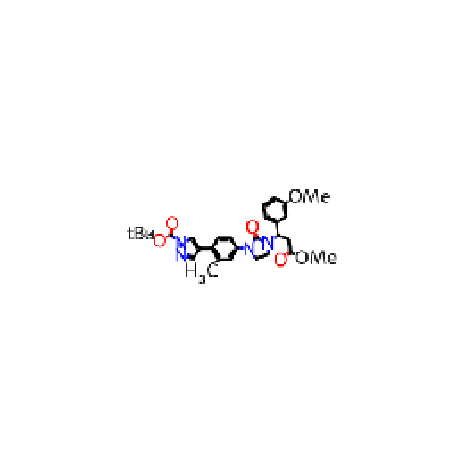 COC(=O)CC(c1cccc(OC)c1)N1CCN(c2ccc(-c3cnn(C(=O)OC(C)(C)C)c3)c(C)c2)C1=O